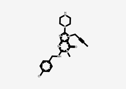 CC#CCn1c(N2CCNCC2)nc2nc(NCc3ccc(Cl)cc3)n(C)c(=O)c21